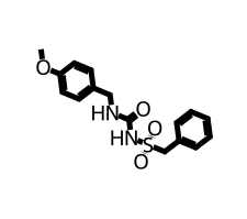 COc1ccc(CNC(=O)NS(=O)(=O)Cc2ccccc2)cc1